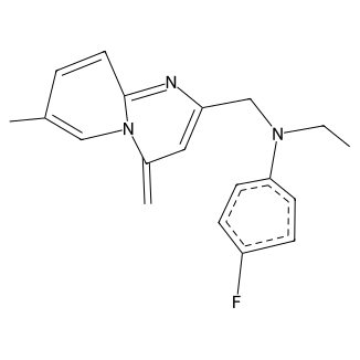 C=C1C=C(CN(CC)c2ccc(F)cc2)N=C2C=CC(C)=CN12